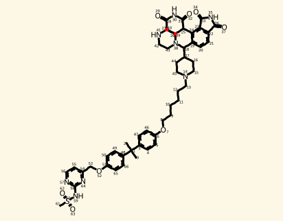 CC(C)(c1ccc(OCCCCCCN2CCC(C(c3ccc4c(c3C3CCC(=O)NC3=O)C(=O)NC4=O)N3CCNCC3)CC2)cc1)c1ccc(OCc2ccnc(NS(C)(=O)=O)n2)cc1